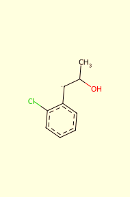 CC(O)[CH]c1ccccc1Cl